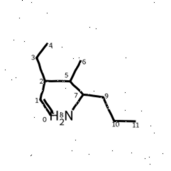 C=CC(CC)C(C)C(N)CCC